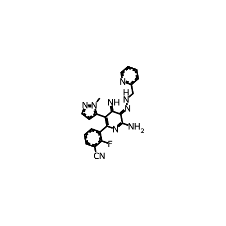 Cn1nccc1C1=C(c2cccc(C#N)c2F)N=C(N)/C(=N/NCc2ccccn2)C1=N